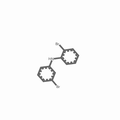 Brc1cccc(Nc2ccccc2Br)c1